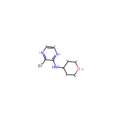 CCc1nccnc1NC1CCOCC1